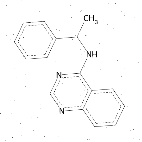 CC(Nc1ncnc2cc[c]cc12)c1ccccc1